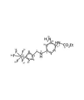 CCOC(=O)Nc1ccc(NCc2csc(S(F)(F)(F)(F)F)c2)cc1N